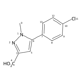 Cn1nc(C(=O)O)cc1-c1ccc(Cl)cc1